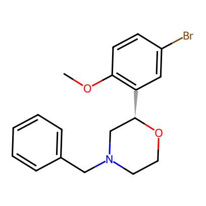 COc1ccc(Br)cc1[C@H]1CN(Cc2ccccc2)CCO1